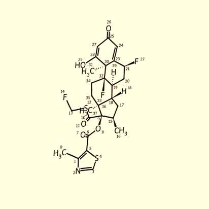 Cc1ncsc1C(=O)O[C@]1(C(=O)SCF)[C@H](C)C[C@H]2[C@@H]3C[C@H](F)C4=CC(=O)C=C(O)[C@]4(C)[C@@]3(F)CC[C@@]21C